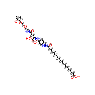 CC(=O)COCCOCCNC(=O)CC[C@@H](NC(=O)[C@H]1CC[C@H](CNC(=O)CCCCCCCCCCCCCCCCCCC(=O)O)CC1)C(=O)O